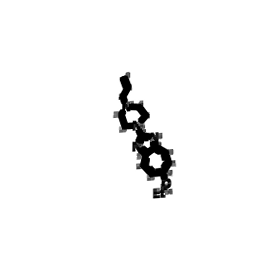 C=CCN1CCN(c2nc3ccc(OCC)ccc-3n2)CC1